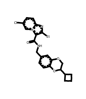 CCc1nc2ccc(Cl)cn2c1C(=O)NCc1ccc2c(c1)OCC(C1CCC1)O2